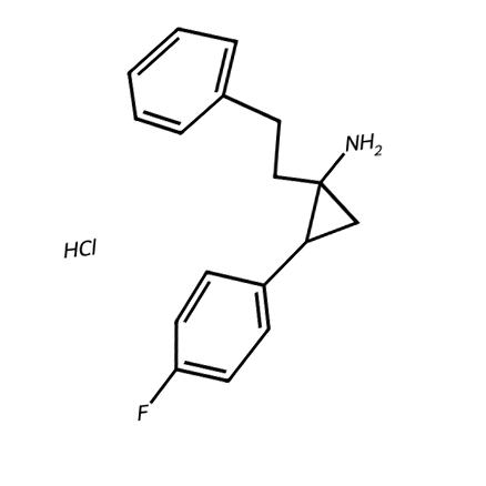 Cl.NC1(CCc2ccccc2)CC1c1ccc(F)cc1